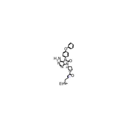 CCN(C)C/C=C/C(=O)N1CC[C@@H](n2c(=O)n(-c3ccc(Oc4ccccc4)cc3)c3c(N)ncnc32)C1